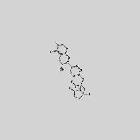 Cn1ccc2cc(-c3ccc(O[C@H]4C[C@@H]5CC[C@@H](N5)[C@H]4F)nn3)c(O)cc2c1=O